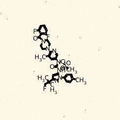 Cc1ccc(-n2nc(C(C)(C)CF)cc2NC(=O)N(OS(C)(=O)=O)c2cnc(N3CCN(C(=O)c4c(F)cccc4F)CC3)c(C)c2)cc1